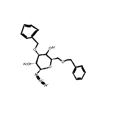 CC(=O)OC1[C@@H](COCc2ccccc2)O[C@@H](N=[N+]=[N-])[C@H](OC(C)=O)[C@H]1OCc1ccccc1